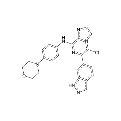 Clc1c(-c2ccc3cn[nH]c3c2)nc(Nc2ccc(N3CCOCC3)cc2)c2nccn12